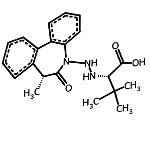 C[C@H]1C(=O)N(NN[C@H](C(=O)O)C(C)(C)C)c2ccccc2-c2ccccc21